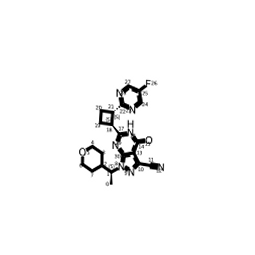 C[C@@H](C1CCOCC1)n1nc(C#N)c2c(=O)[nH]c([C@H]3CC[C@@H]3c3ncc(F)cn3)nc21